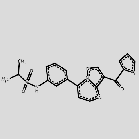 CC(C)S(=O)(=O)Nc1cccc(-c2ccnc3c(C(=O)c4cccs4)cnn23)c1